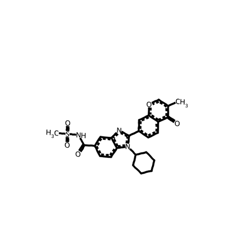 Cc1coc2cc(-c3nc4cc(C(=O)NS(C)(=O)=O)ccc4n3C3CCCCC3)ccc2c1=O